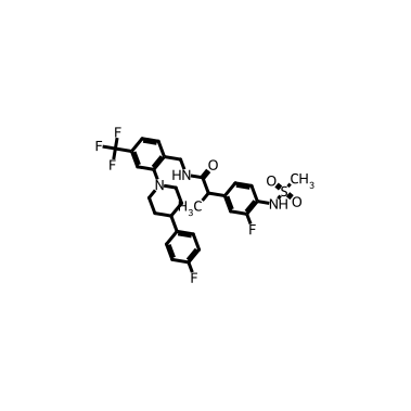 CC(C(=O)NCc1ccc(C(F)(F)F)cc1N1CCC(c2ccc(F)cc2)CC1)c1ccc(NS(C)(=O)=O)c(F)c1